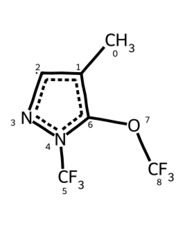 Cc1[c]nn(C(F)(F)F)c1OC(F)(F)F